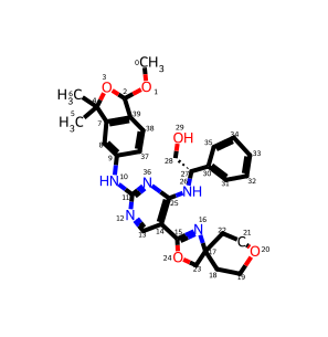 COC1OC(C)(C)c2cc(Nc3ncc(C4=NC5(CCOCC5)CO4)c(N[C@H](CO)c4ccccc4)n3)ccc21